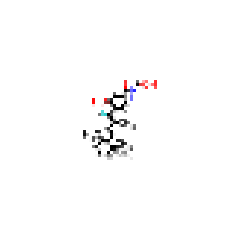 CC1=C(/C=C/C(C)=C(\F)c2ccc(C(=O)NCO)cc2O)C(C)(C)CCC1